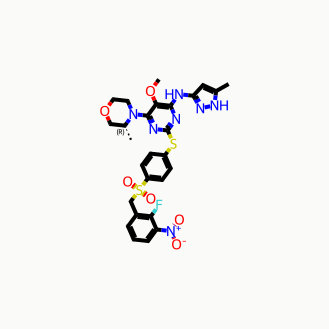 COc1c(Nc2cc(C)[nH]n2)nc(Sc2ccc(S(=O)(=O)Cc3cccc([N+](=O)[O-])c3F)cc2)nc1N1CCOC[C@H]1C